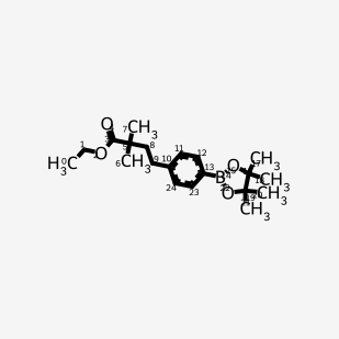 CCOC(=O)C(C)(C)CCc1ccc(B2OC(C)(C)C(C)(C)O2)cc1